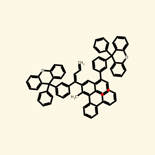 C=C/C=C(/c1cccc(C2(c3ccccc3)c3ccccc3Oc3ccccc32)c1)c1cc2c(-c3cccc(C4(c5ccccc5)c5ccccc5Oc5ccccc54)c3)cccc2c(-c2ccccc2-c2ccccc2)c1C